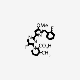 COc1cc(-c2ncc(F)c(N3CCC[C@H](C)[C@@H]3C(=O)O)n2)nn1Cc1ccccc1F